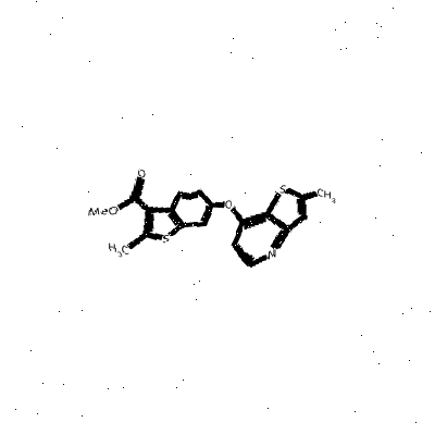 COC(=O)c1c(C)sc2cc(Oc3ccnc4cc(C)sc34)ccc12